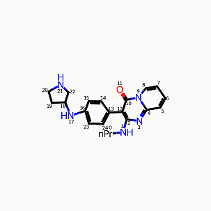 CCCNc1nc2ccccn2c(=O)c1-c1ccc(NC2CCNC2)cc1